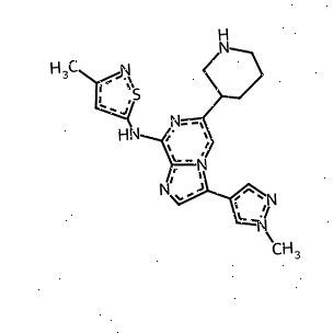 Cc1cc(Nc2nc(C3CCCNC3)cn3c(-c4cnn(C)c4)cnc23)sn1